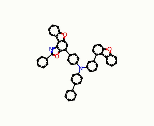 c1ccc(-c2ccc(N(c3ccc(-c4cc5oc6ccccc6c5c5nc(-c6ccccc6)oc45)cc3)c3cccc(-c4cccc5oc6ccccc6c45)c3)cc2)cc1